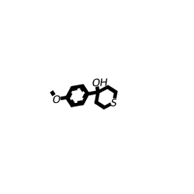 COc1ccc(C2(O)CCSCC2)cc1